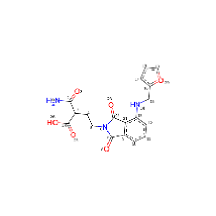 NC(=O)C(CCN1C(=O)c2cccc(NCc3ccco3)c2C1=O)C(=O)O